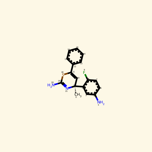 C[C@@]1(c2cc(N)ccc2F)C=C(c2ccccc2)SC(N)=N1